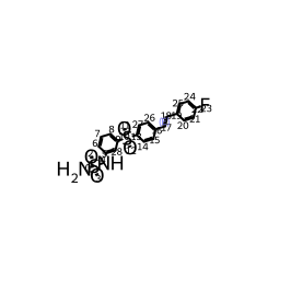 NS(=O)(=O)Nc1cccc(S(=O)(=O)c2ccc(/C=C/c3ccc(F)cc3)cc2)c1